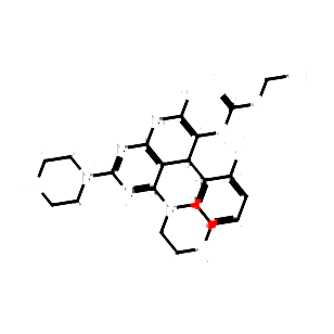 CCOC(=O)OC1=C(C)Nc2nc(N3CCOCC3)nc(N3CCOCC3)c2C1c1ccccc1C